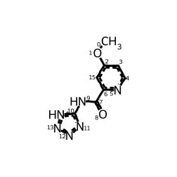 COc1ccnc(C(=O)Nc2nnn[nH]2)c1